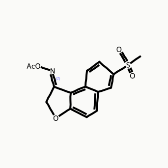 CC(=O)O/N=C1\COc2ccc3cc(S(C)(=O)=O)ccc3c21